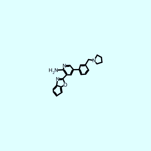 Nc1ncc(-c2cccc(CN3CCCC3)c2)cc1-c1nc2ccccc2o1